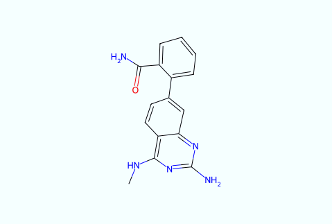 CNc1nc(N)nc2cc(-c3ccccc3C(N)=O)ccc12